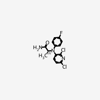 C[C@@H](C(N)=O)N(c1ccc(F)cc1)c1ccc(Cl)nc1Cl